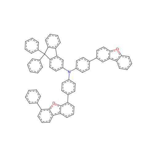 c1ccc(-c2cccc3c2oc2c(-c4ccc(N(c5ccc(-c6ccc7oc8ccccc8c7c6)cc5)c5ccc6c(c5)-c5ccccc5C6(c5ccccc5)c5ccccc5)cc4)cccc23)cc1